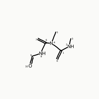 C=C(NC)N(C)C(=C)NC=O